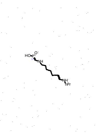 CCCNC=CCCCCCN/C=[P+](\[O-])O